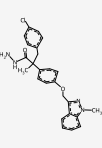 Cn1nc(COc2ccc(C(C)(Cc3ccc(Cl)cc3)C(=O)NN)cc2)c2ccccc21